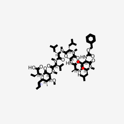 C/C=C/C[C@@H](C)[C@@H](OC)[C@@H](C(=O)N[C@@H](CC)C(=O)O)N(C)C(=O)[C@H](C(C)C)N(C)C(=O)[C@H](CC(C)C)N(C)C(=O)[C@H](CC(C)C)N(C)C(=O)[C@@H](C)NC(=O)[C@H](C)NC(=O)[C@H](CC(C)C)N(C)C(=O)[C@@H](NC(=O)OCc1ccccc1)C(C)C